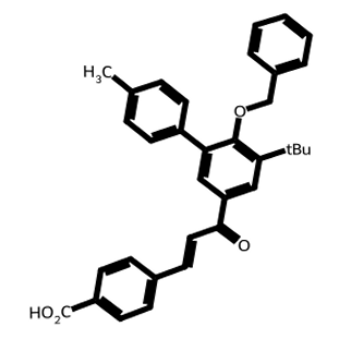 Cc1ccc(-c2cc(C(=O)/C=C/c3ccc(C(=O)O)cc3)cc(C(C)(C)C)c2OCc2ccccc2)cc1